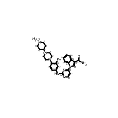 CN1CCC(N2CCN(c3ccc(Nc4nccc(-n5cc(C(N)=O)c6ccccc65)n4)cc3F)CC2)CC1